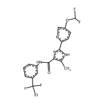 CCC(F)(F)c1cccc(NC(=O)c2nc(-c3ccc(OC(F)F)cn3)[nH]c2C)c1